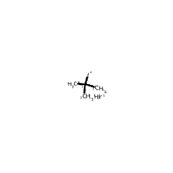 CC(C)(C)I.F